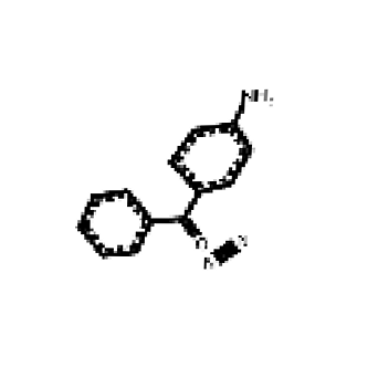 N#N.Nc1ccc(C(=O)c2ccccc2)cc1